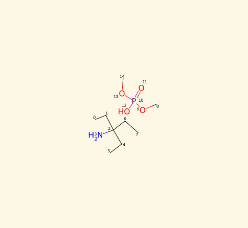 CCC(N)(CC)CC.COP(=O)(O)OC